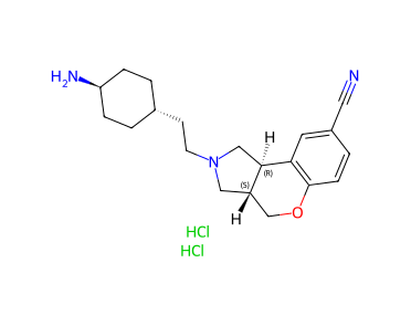 Cl.Cl.N#Cc1ccc2c(c1)[C@@H]1CN(CC[C@H]3CC[C@H](N)CC3)C[C@H]1CO2